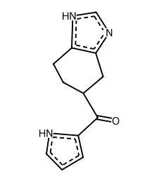 O=C(c1ccc[nH]1)C1CCc2[nH]cnc2C1